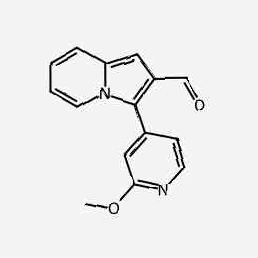 COc1cc(-c2c(C=O)cc3ccccn23)ccn1